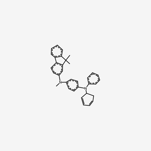 CN(c1ccc(N(c2ccccc2)C2C=CC=CC2)cc1)c1ccc2c(c1)C(C)(C)c1ccccc1-2